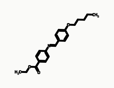 CCCCCOc1ccc(/C=N/c2ccc(C(=O)OCC)cc2)cc1